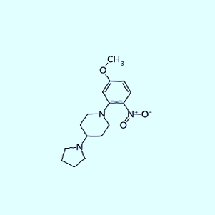 COc1ccc([N+](=O)[O-])c(N2CCC(N3CCCC3)CC2)c1